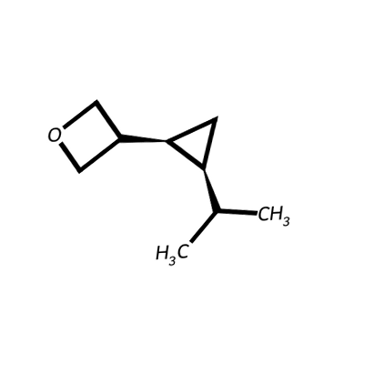 CC(C)[C@@H]1C[C@@H]1C1COC1